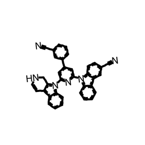 N#Cc1cccc(-c2cc(-n3c4c(c5ccccc53)C=CNC4)nc(-n3c4ccccc4c4cc(C#N)ccc43)c2)c1